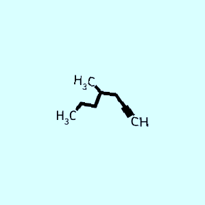 C#CCC(C)CCC